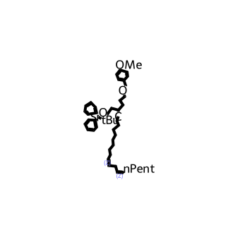 CCCCC/C=C\C/C=C\CCCCCCCCCC(CCCOCc1ccc(OC)cc1)CCO[Si](c1ccccc1)(c1ccccc1)C(C)(C)C